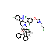 C[C@@H]1Cc2c([nH]c3ccc(F)cc23)C(c2c(F)cc(OC3CN(CCCF)C3)cc2F)N1CC(C)(F)CO[Si](c1ccccc1)(c1ccccc1)C(C)(C)C